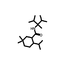 CC(C)C1CCC(C)(C)CC1C(=O)NC(C)(C(C)C)C(C)C